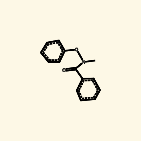 CN(Oc1ccccc1)C(=O)c1ccccc1